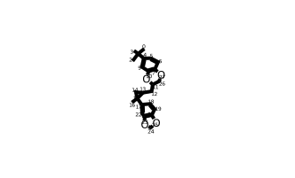 CC(C)(C)c1ccc2c(c1)OC(CC1CC1(C)c1ccc3c(c1)OCO3)CO2